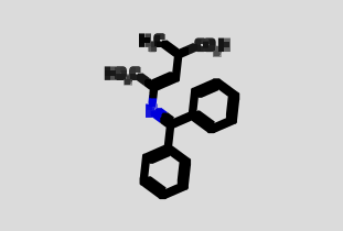 CC(C=C(N=C(c1ccccc1)c1ccccc1)C(=O)O)C(=O)O